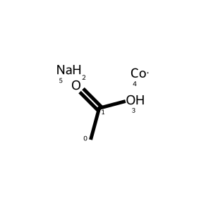 CC(=O)O.[Co].[NaH]